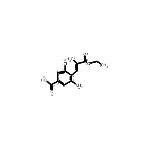 CCOC(=O)/C(C)=C/c1c(C)cc(C(=O)O)cc1Cl